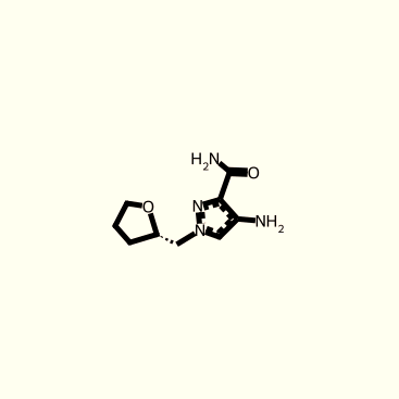 NC(=O)c1nn(C[C@@H]2CCCO2)cc1N